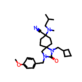 COc1ccc(CN2CC3(CCC(C#N)(N(C)CC(C)C)CC3)N(CC3CCC3)C2=O)cc1